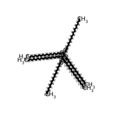 CCCCCCCCCCCCCCCCCCOC[C@H](OCCCCCCCCCCCCCCCCCC)[C@@H](OCCCCCCCCCCCCCCCCCC)[C@H](OCCCCCCCCCCCCCCCCCC)[C@@H](COCCCCCCCCCCCCCCCCCC)OCCCCCCCCCCCCCCCCCC